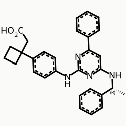 C[C@@H](Nc1cc(-c2ccccc2)nc(Nc2ccc(C3(CC(=O)O)CCC3)cc2)n1)c1ccccc1